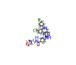 O=C(NCCN1CCOCC1)c1ccc(Nc2ncc3c(n2)-c2ccc(Cl)cc2C(c2ccc(F)cc2)=NC3)cc1